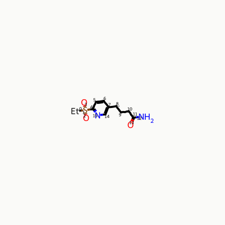 CCS(=O)(=O)c1ccc([CH]CCC(N)=O)cn1